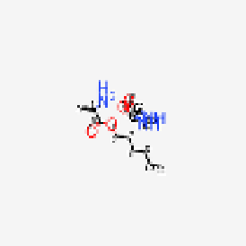 C=C(N)C(=O)OCCCCCC.N=C=O.N=C=O